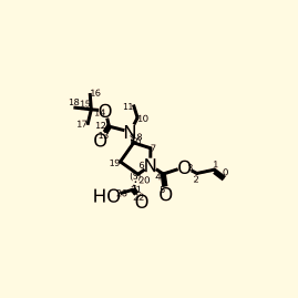 C=CCOC(=O)N1C[C@H](N(CC)C(=O)OC(C)(C)C)C[C@H]1C(=O)O